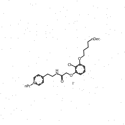 CCCCCCCCCCCCCCOc1cccc(OCC(=O)NCCc2cc[n+](CCC)cc2)c1Cl.[I-]